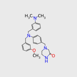 COc1cccc(CN(Cc2cccc(N(C)C)c2)c2ccc(CN3CCNC(=O)C3)cc2)c1